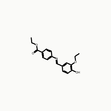 CCOC(=O)c1ccc(/N=C/c2ccc(O)c(OCC)c2)cc1